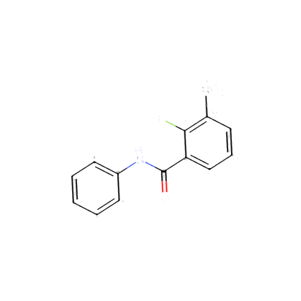 O=C(Nc1ccccc1)c1cccc([N+](=O)[O-])c1F